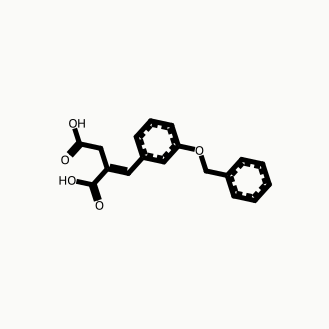 O=C(O)C/C(=C\c1cccc(OCc2ccccc2)c1)C(=O)O